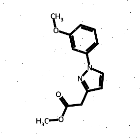 COC(=O)Cc1ccn(-c2cccc(OC)c2)n1